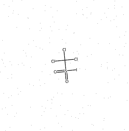 O=S(=O)(I)C(Cl)(Cl)Cl